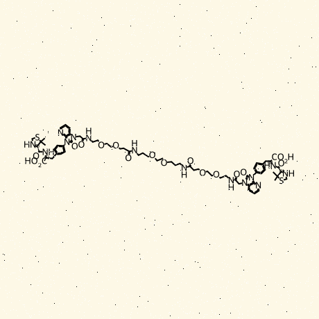 CC1(C)SCN[C@@H]1C(=O)N[C@@H](Cc1ccc(-n2c(=O)n(CC(=O)NCCOCCOCCC(=O)NCCCOCCOCCCNC(=O)CCOCCOCCNC(=O)Cn3c(=O)n(-c4ccc(C[C@H](NC(=O)[C@H]5NCSC5(C)C)C(=O)O)cc4)c4ncccc43)c3cccnc32)cc1)C(=O)O